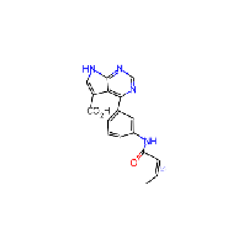 C/C=C\C(=O)Nc1cccc(-c2ncnc3[nH]cc(C(=O)O)c23)c1